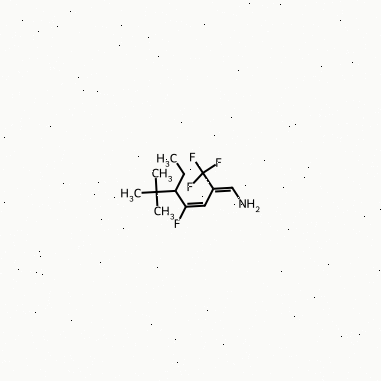 CCC(/C(F)=C\C(=C/N)C(F)(F)F)C(C)(C)C